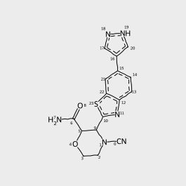 N#CN1CCOC(C(N)=O)C1c1nc2ccc(-c3cn[nH]c3)cc2s1